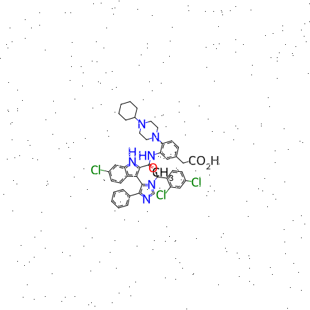 C[C@@H](c1ccc(Cl)cc1Cl)n1cnc(-c2ccccc2)c1-c1c(C(=O)Nc2cc(CC(=O)O)ccc2N2CCN(C3CCCCC3)CC2)[nH]c2cc(Cl)ccc12